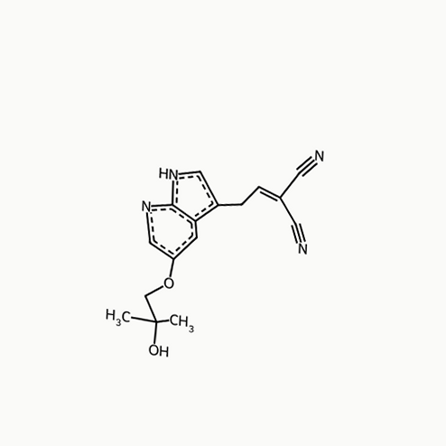 CC(C)(O)COc1cnc2[nH]cc(CC=C(C#N)C#N)c2c1